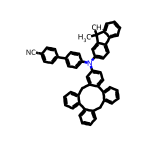 CC1(C)c2ccccc2-c2ccc(N(c3ccc(-c4ccc(C#N)cc4)cc3)c3ccc4c(c3)Cc3ccccc3-c3ccccc3Cc3ccccc3-4)cc21